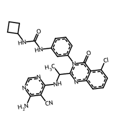 CC(Nc1ncnc(N)c1C#N)c1nc2cccc(Cl)c2c(=O)n1-c1cccc(NC(=O)NC2CCC2)c1